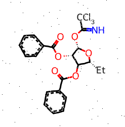 CC[C@H]1O[C@@H](OC(=N)C(Cl)(Cl)Cl)[C@@H](OC(=O)c2ccccc2)C1OC(=O)c1ccccc1